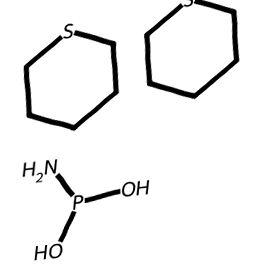 C1CCSCC1.C1CCSCC1.NP(O)O